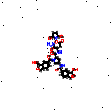 NC(=O)[C@H](CC(=O)ON1C(=O)CCC1=O)NC(=O)[C@@H]1C[C@@H](NC(=O)c2ccc3c(c2)B(O)OC3)CN1C(=O)c1ccc2c(c1)B(O)OC2